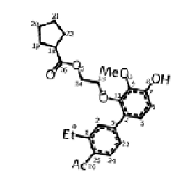 CCc1cc(-c2ccc(O)c(OC)c2OCCOC(=O)C2CCCC2)ccc1C(C)=O